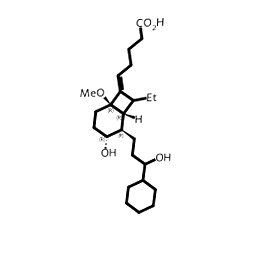 CCC1C(=CCCCC(=O)O)[C@@]2(OC)CC[C@@H](O)[C@H](CCC(O)C3CCCCC3)[C@@H]12